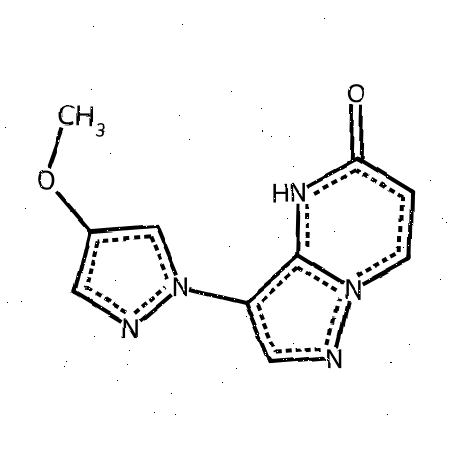 COc1cnn(-c2cnn3ccc(=O)[nH]c23)c1